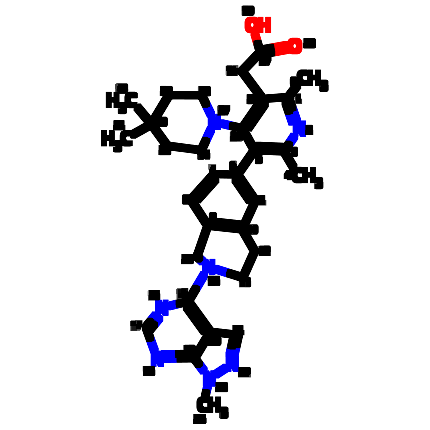 Cc1nc(C)c(-c2ccc3c(c2)CCN(c2ncnc4c2cnn4C)C3)c(N2CCC(C)(C)CC2)c1CC(=O)O